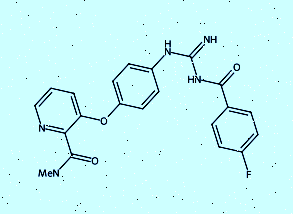 CNC(=O)c1ncccc1Oc1ccc(NC(=N)NC(=O)c2ccc(F)cc2)cc1